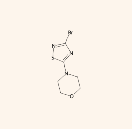 Brc1nsc(N2CCOCC2)n1